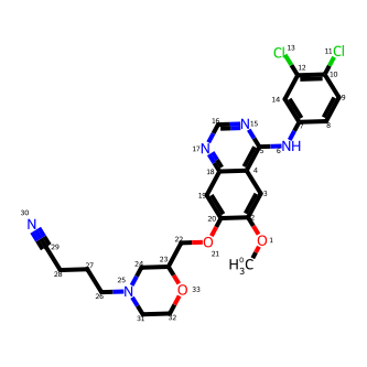 COc1cc2c(Nc3ccc(Cl)c(Cl)c3)ncnc2cc1OCC1CN(CCCC#N)CCO1